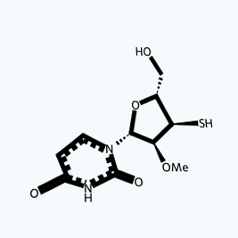 CO[C@@H]1[C@H](S)[C@@H](CO)O[C@H]1n1ccc(=O)[nH]c1=O